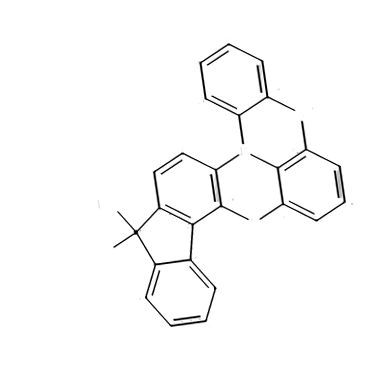 CC1(C)c2ccccc2-c2c1ccc1c2Sc2cccc3c2B1c1ccccc1S3